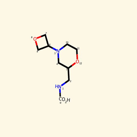 O=C(O)NCC1CN(C2COC2)CCO1